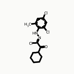 Cc1cc(Cl)cc(Cl)c1NN=C(Cl)C(=O)C1CCCCC1